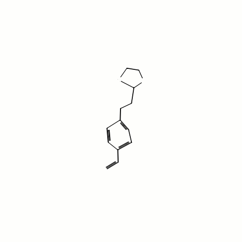 C=Cc1ccc(CCC2NCCS2)cc1